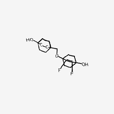 OC12CCC(COC34CCC(O)(CC3)C(F)=C4F)(CC1)CC2